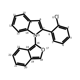 Clc1ccccc1-c1cc2ccccc2n1-c1occ2ccccc12